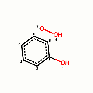 Oc1ccccc1.[O]O